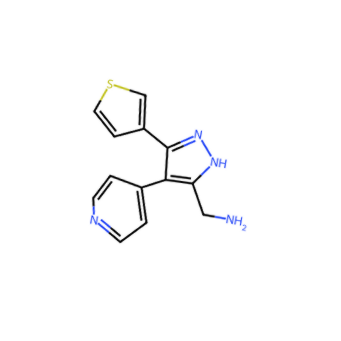 NCc1[nH]nc(-c2ccsc2)c1-c1ccncc1